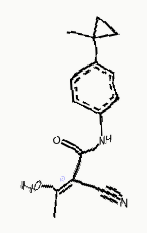 C/C(O)=C(\C#N)C(=O)Nc1ccc(C2(C)CC2)cc1